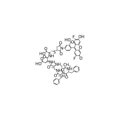 CC(=O)NC(Cc1ccccc1)C(=O)N[C@@H](Cc1ccccc1)C(=O)NC[C@H](N)C(=O)N[C@@H](CC(=O)O)C(=O)N[C@@H](CSC1CC(=O)N(c2ccc(-c3c4cc(F)c(=O)cc-4oc4cc(O)c(F)cc34)c(C(=O)O)c2)C1=O)C(=O)O